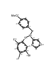 COc1ccc(CN(Sc2cc(Br)c(F)cc2F)c2cscn2)cc1